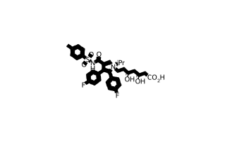 Cc1ccc(S(=O)(=O)NC(=O)C2=C[N+](CC[C@@H](O)C[C@@H](O)CC(=O)O)(C(C)C)C(c3ccc(F)cc3)=C2c2ccc(F)cc2)cc1